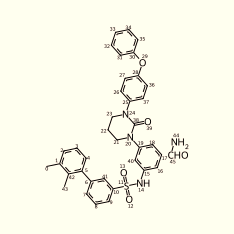 Cc1cccc(-c2cccc(S(=O)(=O)Nc3cccc(N4CCCN(c5ccc(Oc6ccccc6)cc5)C4=O)c3)c2)c1C.NC=O